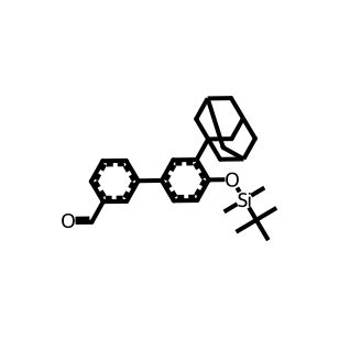 CC(C)(C)[Si](C)(C)Oc1ccc(-c2cccc(C=O)c2)cc1C12CC3CC(CC(C3)C1)C2